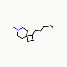 CC(C)CCCC1CCC12CCN(C)CC2